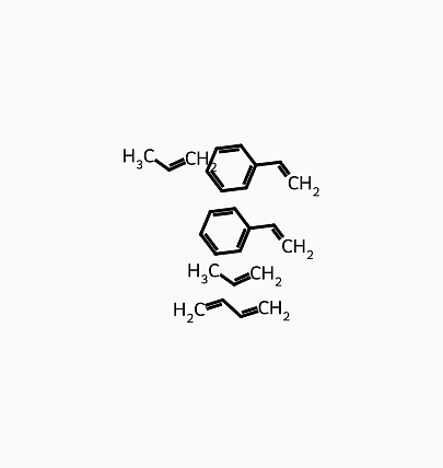 C=CC.C=CC.C=CC=C.C=Cc1ccccc1.C=Cc1ccccc1